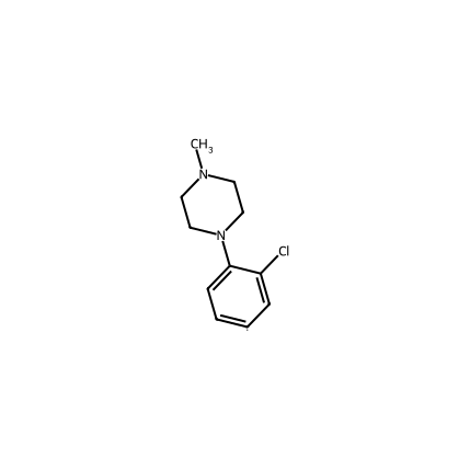 CN1CCN(c2cc[c]cc2Cl)CC1